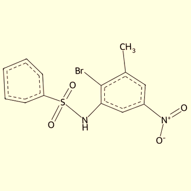 Cc1cc([N+](=O)[O-])cc(NS(=O)(=O)c2ccccc2)c1Br